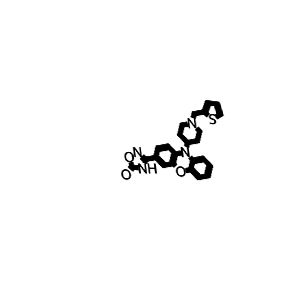 O=c1[nH]c(-c2ccc3c(c2)Oc2ccccc2N3C2CCN(Cc3cccs3)CC2)no1